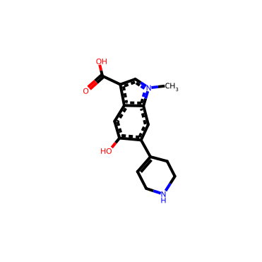 Cn1cc(C(=O)O)c2cc(O)c(C3=CCNCC3)cc21